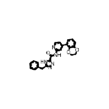 O=C(Nc1cc(-c2cccc3c2OCCO3)ccn1)c1nnc(Cc2ccccc2)[nH]1